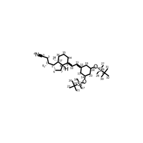 C[C@H](CC#N)[C@H]1CC[C@H]2/C(=C/C=C3CC(O[Si](C)(C)C(C)(C)C)CC(O[Si](C)(C)C(C)(C)C)C3)CCC[C@]12C